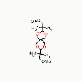 COCC(C)(C)C1OCC2(CO1)COC(C(C)(C)COC)OC2